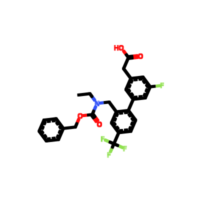 CCN(Cc1cc(C(F)(F)F)ccc1-c1cc(F)cc(CC(=O)O)c1)C(=O)OCc1ccccc1